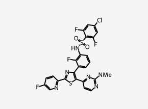 CNc1nccc(-c2sc(-c3ccc(F)cn3)nc2-c2cccc(NS(=O)(=O)c3c(F)cc(Cl)cc3F)c2F)n1